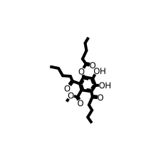 CCCCC(=O)Oc1c(O)c(O)c(C(=O)CCCC)c(C(=O)OC)c1C(=O)CCCC